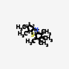 Cc1ccc2c(c1C)Sc1c(C)c(C)c(C)c(C)c1[N]2